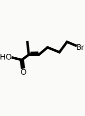 C/C(=C\CCCBr)C(=O)O